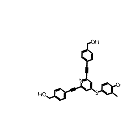 Cc1cc(Sc2cc(C#Cc3ccc(CO)cc3)nc(C#Cc3ccc(CO)cc3)c2)ccc1[O]